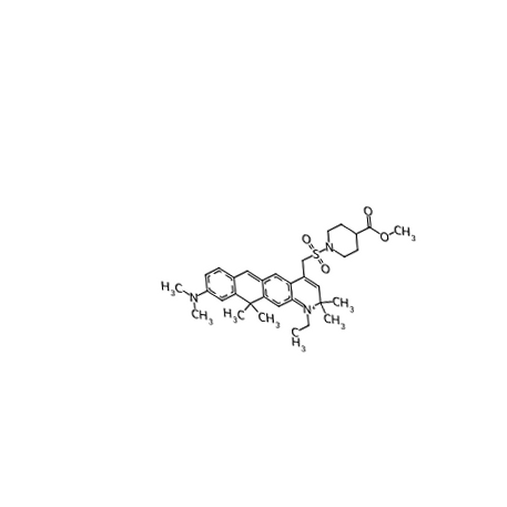 CC[N+]1=c2cc3c(cc2C(CS(=O)(=O)N2CCC(C(=O)OC)CC2)=CC1(C)C)=Cc1ccc(N(C)C)cc1C3(C)C